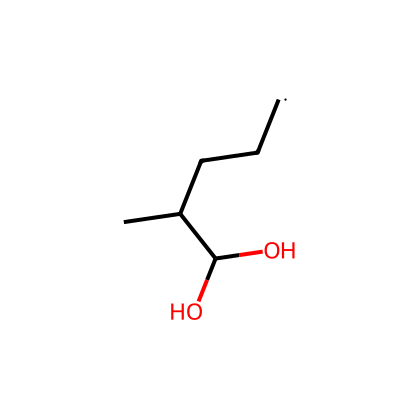 [CH2]CCC(C)C(O)O